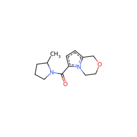 CC1CCCN1C(=O)c1ccc2n1CCOC2